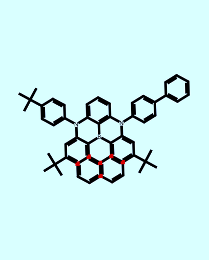 CC(C)(C)c1ccc(N2c3cc(C(C)(C)C)cc(-c4ccccc4)c3B3c4c(-c5ccccc5)cc(C(C)(C)C)cc4N(c4ccc(-c5ccccc5)cc4)c4cccc2c43)cc1